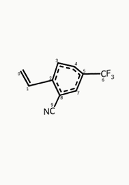 C=Cc1ccc(C(F)(F)F)cc1C#N